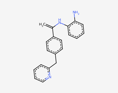 C=C(Nc1ccccc1N)c1ccc(Cc2ccccn2)cc1